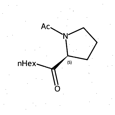 CCCCCCC(=O)[C@@H]1CCCN1C(C)=O